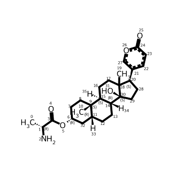 C[C@@H](N)C(=O)O[C@@H]1CC[C@@]2(C)[C@H](CC[C@@H]3[C@@H]2CCC2(C)[C@@H](c4ccc(=O)oc4)CC[C@]32O)C1